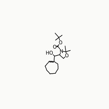 CC(C)(C)OC(=O)N1C(C(O)C2=CCCCCCC2)COC1(C)C